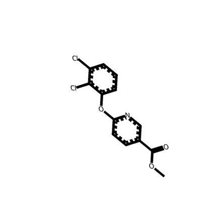 COC(=O)c1ccc(Oc2cccc(Cl)c2Cl)nc1